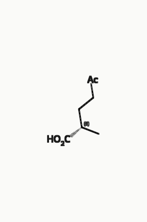 CC(=O)CC[C@H](C)C(=O)O